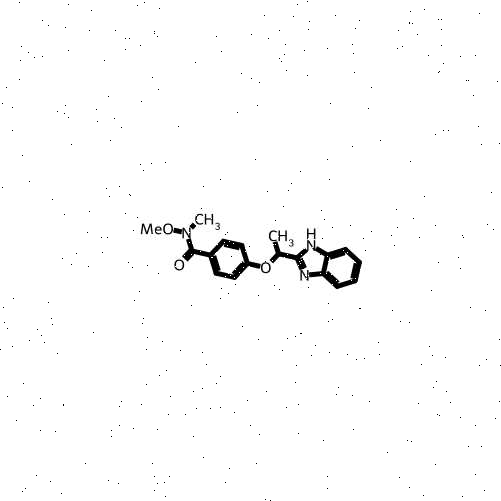 CON(C)C(=O)c1ccc(OC(C)c2nc3ccccc3[nH]2)cc1